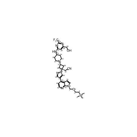 C[Si](C)(C)CCOCn1ccc2c(-c3cnn([C@]4(CC#N)C[C@@H](N5CCC(Nc6cc(CO)nc(C(F)(F)F)n6)CC5)C4)c3)ccnc21